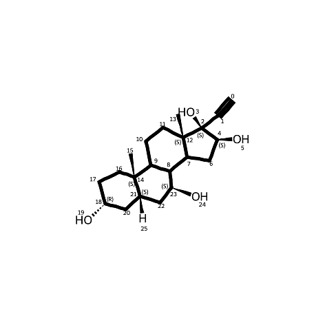 C#C[C@]1(O)[C@@H](O)CC2C3C(CC[C@@]21C)[C@@]1(C)CC[C@@H](O)C[C@H]1C[C@@H]3O